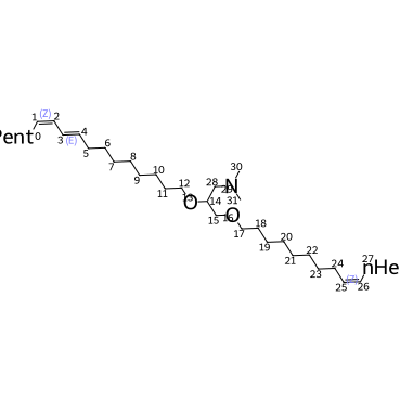 CCCCC/C=C\C=C\CCCCCCCCOC(COCCCCCCCC/C=C\CCCCCCC)CN(C)C